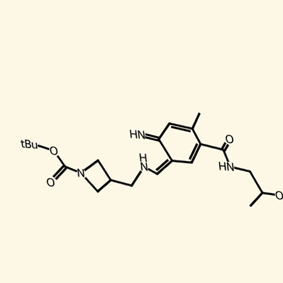 COC(C)CNC(=O)C1=C/C(=C/NCC2CN(C(=O)OC(C)(C)C)C2)C(=N)C=C1C